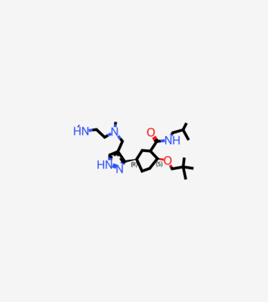 CNCCN(C)Cc1c[nH]nc1[C@@H]1CC[C@H](OCC(C)(C)C)C(C(=O)NCC(C)C)C1